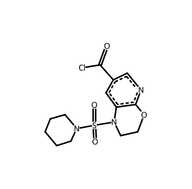 O=C(Cl)c1cnc2c(c1)N(S(=O)(=O)N1CCCCC1)CCO2